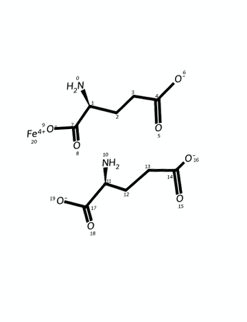 N[C@@H](CCC(=O)[O-])C(=O)[O-].N[C@@H](CCC(=O)[O-])C(=O)[O-].[Fe+4]